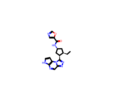 CC[C@@H]1C[C@H](NC(=O)c2cnco2)C[C@@H]1c1nnc2cnc3[nH]ccc3n12